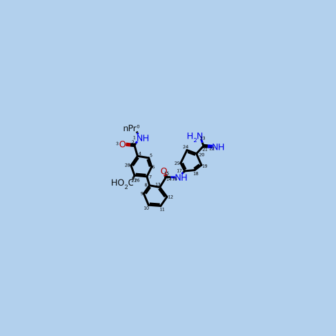 CCCNC(=O)c1ccc(-c2ccccc2C(=O)Nc2ccc(C(=N)N)cc2)c(C(=O)O)c1